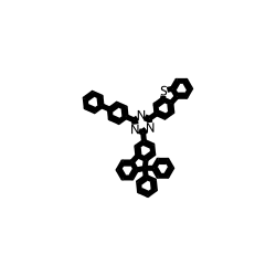 c1ccc(-c2ccc(-c3nc(-c4ccc5c(c4)-c4ccccc4C5(c4ccccc4)c4ccccc4)nc(-c4ccc5c(c4)sc4ccccc45)n3)cc2)cc1